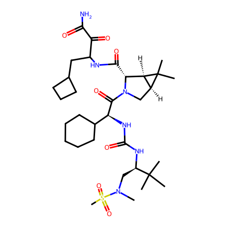 CN(C[C@@H](NC(=O)N[C@H](C(=O)N1C[C@H]2[C@@H]([C@H]1C(=O)NC(CC1CCC1)C(=O)C(N)=O)C2(C)C)C1CCCCC1)C(C)(C)C)S(C)(=O)=O